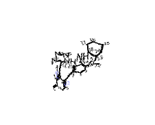 C=C/C=C(\C(=C/C)c1ccc(N(C)C2CCCCC2)c(N)c1)c1nnn[nH]1